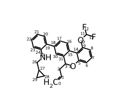 C=CCC1Oc2cccc(OC(F)F)c2-c2ccc(-c3ccccc3NCC3CC3)cc21